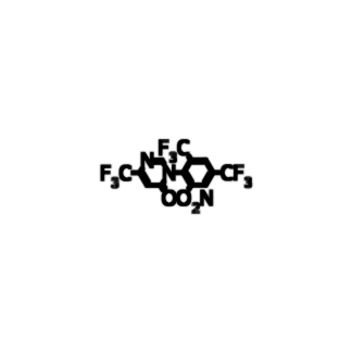 O=c1cc(C(F)(F)F)ncn1-c1c([N+](=O)[O-])cc(C(F)(F)F)cc1C(F)(F)F